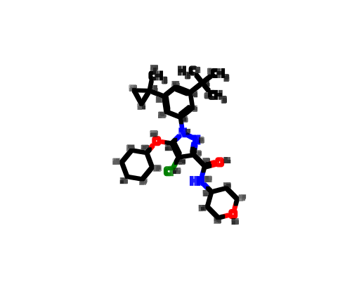 CC(C)(C)c1cc(-n2nc(C(=O)NC3CCOCC3)c(Cl)c2OC2CCCCC2)cc(C2(C)CC2)c1